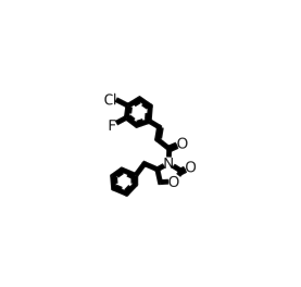 O=C(/C=C/c1ccc(Cl)c(F)c1)N1C(=O)OCC1Cc1ccccc1